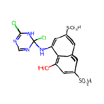 O=S(=O)(O)c1cc(O)c2c(NC3(Cl)N=CN=C(Cl)N3)cc(S(=O)(=O)O)cc2c1